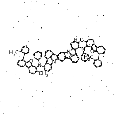 Cc1ccccc1-c1cccc2c1oc1c(N(c3ccccc3)c3cccc4c3c3cccc5c6cc7c(cc6n4c53)c3cccc4c5c(N(c6ccccc6)c6c(C)ccc8c6oc6c(-c9ccccc9C)cccc68)cccc5n7c34)c(C)ccc12